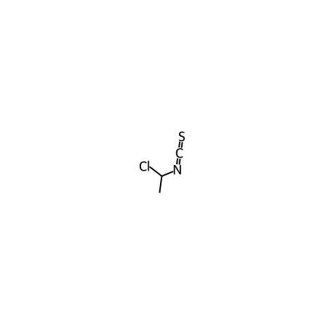 CC(Cl)N=C=S